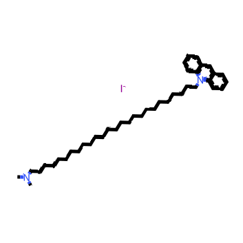 CN(C)CCCCCCCCCCCCCCCCCCCCCCCCCC[n+]1c2ccccc2cc2ccccc21.[I-]